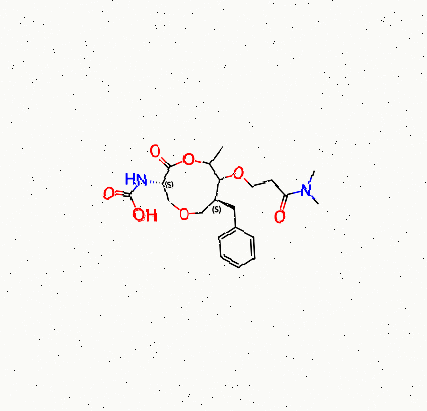 CC1OC(=O)[C@@H](NC(=O)O)COC[C@H](Cc2ccccc2)C1OCCC(=O)N(C)C